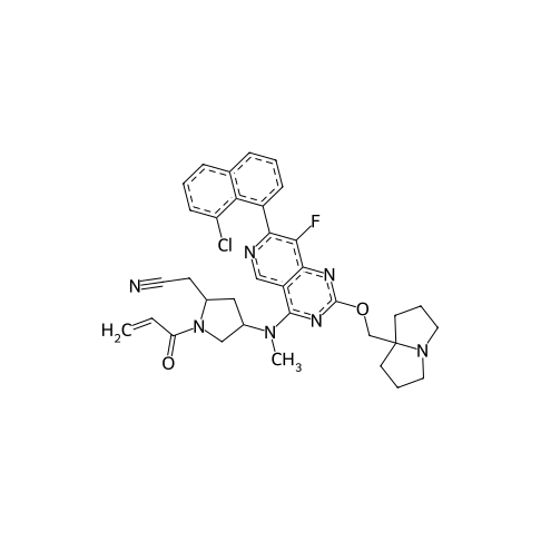 C=CC(=O)N1CC(N(C)c2nc(OCC34CCCN3CCC4)nc3c(F)c(-c4cccc5cccc(Cl)c45)ncc23)CC1CC#N